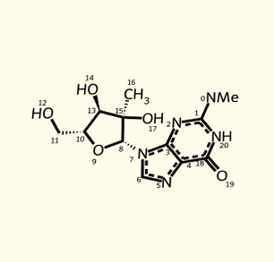 CNc1nc2c(ncn2[C@@H]2O[C@H](CO)[C@@H](O)[C@@]2(C)O)c(=O)[nH]1